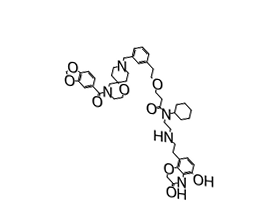 O=C1COc2c(CCNCCN(C(=O)CCOCCc3cccc(CN4CCC5(CC4)CN(C(=O)c4ccc6c(c4)OCO6)CCO5)c3)C3CCCCC3)ccc(O)c2N1